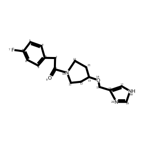 O=C(Cc1ccc(F)cc1)N1CCC(OCc2c[nH]cn2)CC1